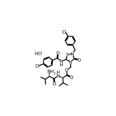 CC(C)[C@@H](N)C(=O)N[C@@H](C(=O)OCN1C(=O)N(Cc2ccc(Cl)cc2)SC1NC(=O)c1ccc(Cl)cc1)C(C)C.Cl